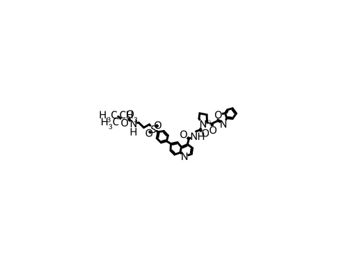 CC(C)(C)OC(=O)NCCCS(=O)(=O)c1ccc(-c2ccc3nccc(C(=O)NCC(=O)N4CCC[C@H]4C(=O)c4nc5ccccc5o4)c3c2)cc1